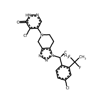 C[C@@H](c1ccc(Cl)cc1C(C)(F)F)n1nnc2c1CCN(c1cn[nH]c(=O)c1Cl)C2